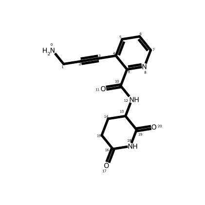 NCC#Cc1cccnc1C(=O)NC1CCC(=O)NC1=O